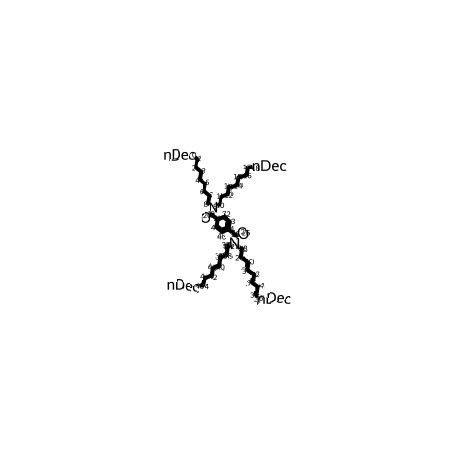 CCCCCCCCCCCCCCCCCCN(CCCCCCCCCCCCCCCCCC)C(=O)c1ccc(C(=O)N(CCCCCCCCCCCCCCCCCC)CCCCCCCCCCCCCCCCCC)cc1